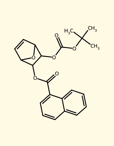 CC(C)(C)OC(=O)OC1C2C=CC(O2)C1OC(=O)c1cccc2ccccc12